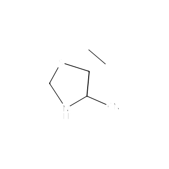 CC.N#CC1CSCN1